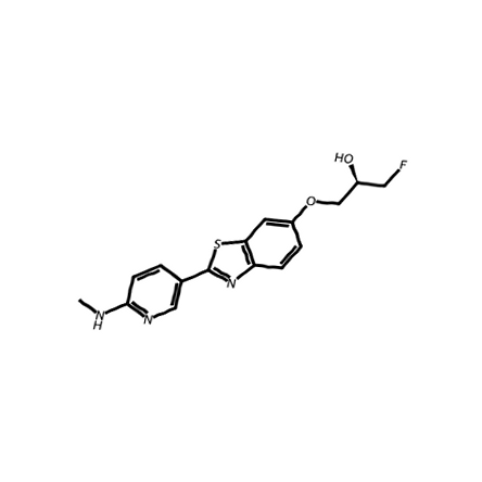 CNc1ccc(-c2nc3ccc(OC[C@@H](O)CF)cc3s2)cn1